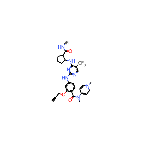 C#CCOc1cc(Nc2ncc(C(F)(F)F)c(NC3CCCC3C(=O)NC(C)C)n2)ccc1C(=O)N(C)C1=CCN(C)C=C1